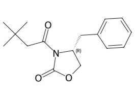 CC(C)(C)CC(=O)N1C(=O)OC[C@H]1Cc1ccccc1